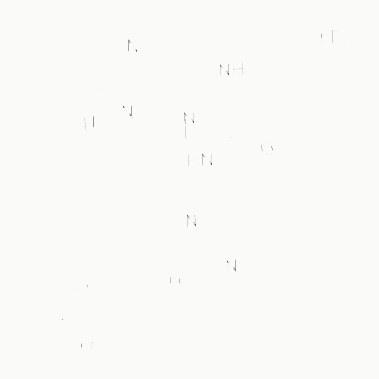 CC1(C)OC[C@@H](COc2nccc(NC(=O)C3(c4cccc(C(F)(F)F)c4)NC=C4C(=N[C@H]5CCN4C5)N3)n2)O1